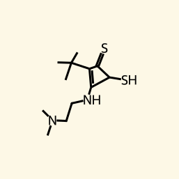 CN(C)CCNC1=C(C(C)(C)C)C(=S)C1S